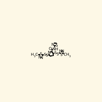 Cc1nnc(SSc2ccc(SSc3nnc(C)s3)c(C(=O)Nc3nccs3)n2)s1